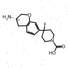 N[C@@H]1COc2cc(C3(F)CCN(C(=O)O)CC3)ccc2C1